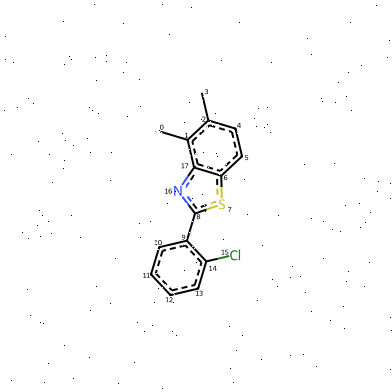 [CH2]c1c(C)ccc2sc(-c3ccccc3Cl)nc12